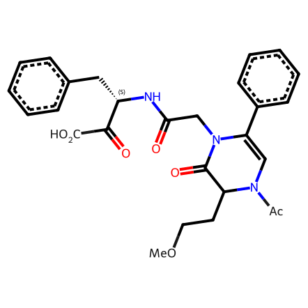 COCCC1C(=O)N(CC(=O)N[C@@H](Cc2ccccc2)C(=O)C(=O)O)C(c2ccccc2)=CN1C(C)=O